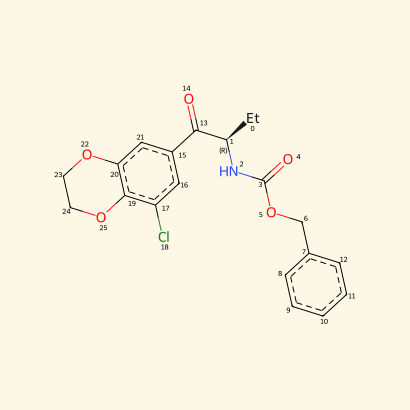 CC[C@@H](NC(=O)OCc1ccccc1)C(=O)c1cc(Cl)c2c(c1)OCCO2